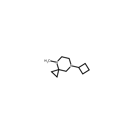 CN1CCN(C2CCC2)CC12CC2